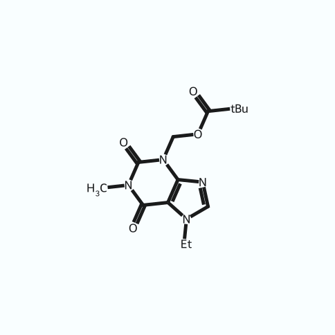 CCn1cnc2c1c(=O)n(C)c(=O)n2COC(=O)C(C)(C)C